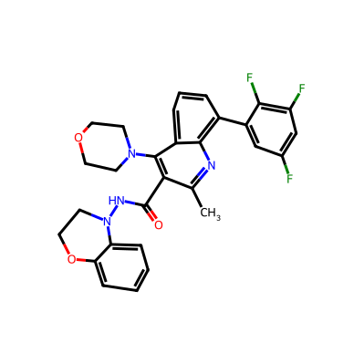 Cc1nc2c(-c3cc(F)cc(F)c3F)cccc2c(N2CCOCC2)c1C(=O)NN1CCOc2ccccc21